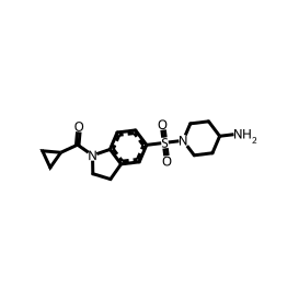 NC1CCN(S(=O)(=O)c2ccc3c(c2)CCN3C(=O)C2CC2)CC1